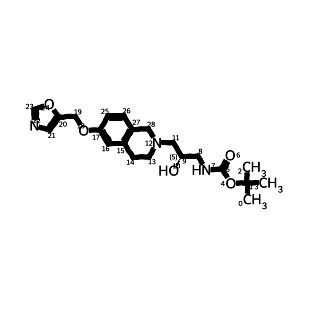 CC(C)(C)OC(=O)NC[C@H](O)CN1CCc2cc(OCc3cnco3)ccc2C1